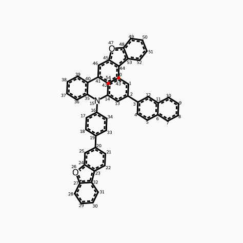 c1cc(-c2ccc3ccccc3c2)cc(N(c2ccc(-c3ccc4c(c3)oc3ccccc34)cc2)c2ccccc2-c2ccc3c(c2)oc2ccccc23)c1